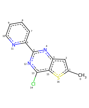 Cc1cc2nc(-c3ccccn3)nc(Cl)c2s1